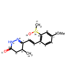 COc1ccc(C=CC2=NNC(=O)CC2C)c([S+](C)[O-])c1